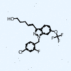 OCCCC=Cc1nn(Cc2ccc(Cl)cc2F)c2cc(OC(F)(F)F)ccc12